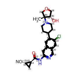 C[C@@]1(N2CCC(c3cc4cc(NC(=O)[C@H]5C[C@@H]5C#N)ncc4cc3Cl)CC2)COC[C@@H]1O